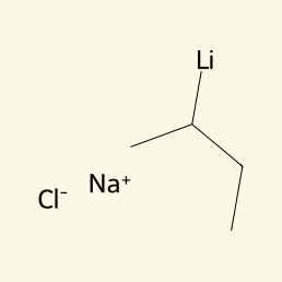 [Cl-].[Li][CH](C)CC.[Na+]